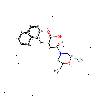 CC1CN(C(=O)CC(Cc2cccc3ccccc23)C(=O)O)CC(C)O1